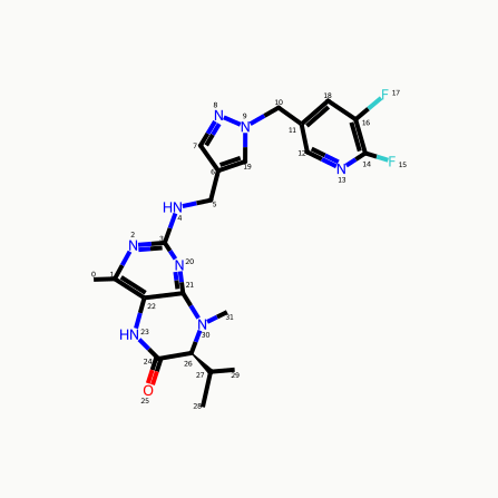 Cc1nc(NCc2cnn(Cc3cnc(F)c(F)c3)c2)nc2c1NC(=O)[C@H](C(C)C)N2C